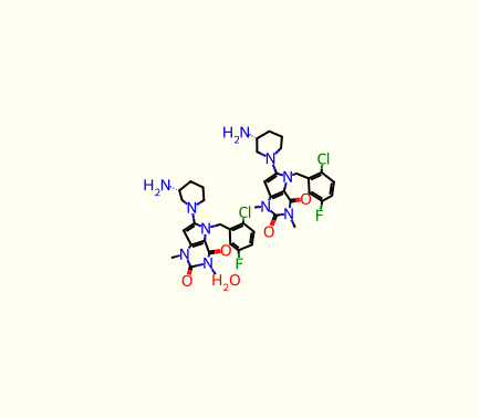 Cn1c(=O)c2c(cc(N3CCC[C@@H](N)C3)n2Cc2cc(F)ccc2Cl)n(C)c1=O.Cn1c(=O)c2c(cc(N3CCC[C@@H](N)C3)n2Cc2cc(F)ccc2Cl)n(C)c1=O.O